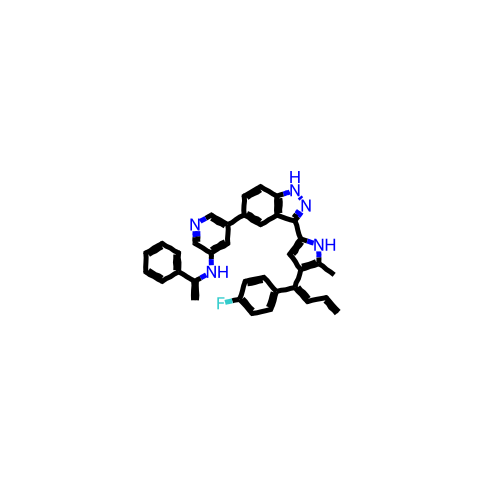 C=C/C=C(/c1ccc(F)cc1)c1cc(-c2n[nH]c3ccc(-c4cncc(NC(=C)c5ccccc5)c4)cc23)[nH]c1C